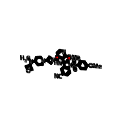 COc1ccc(S(=O)(=O)N2C(=O)[C@@](NC(=O)N3CC(N4CCC(N(C)C5COC5)CC4)C3)(c3cccnc3OC)c3cc(C#N)ccc32)c(F)c1